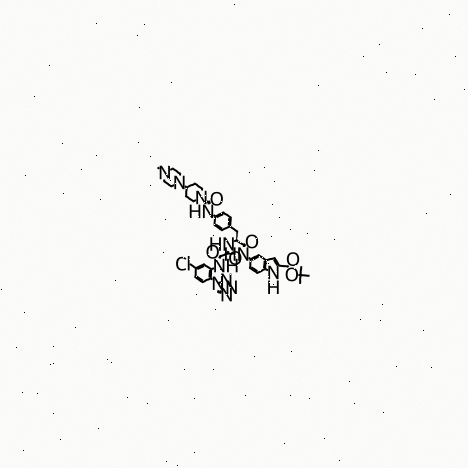 CN1CCN(C2CCN(C(=O)Nc3ccc(C[C@H](NC(=O)C(=O)Nc4cc(Cl)ccc4-n4cnnn4)C(=O)Nc4ccc5[nH]c(C(=O)OC(C)(C)C)cc5c4)cc3)CC2)CC1